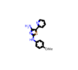 COc1ccc(Nc2nc(N)c(-c3ccccn3)s2)cc1